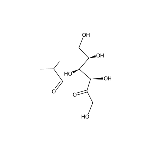 CC(C)C=O.O=C(CO)[C@H](O)[C@@H](O)[C@H](O)CO